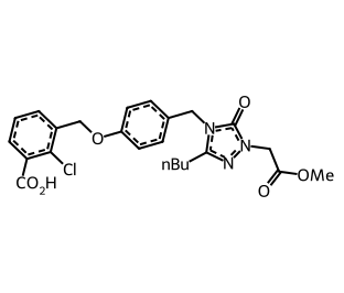 CCCCc1nn(CC(=O)OC)c(=O)n1Cc1ccc(OCc2cccc(C(=O)O)c2Cl)cc1